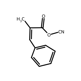 CC(=Cc1ccccc1)C(=O)OC#N